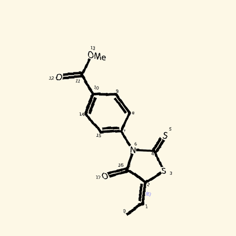 C/C=C1/SC(=S)N(c2ccc(C(=O)OC)cc2)C1=O